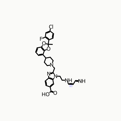 CC1(c2ccc(Cl)cc2F)Oc2cccc(C3CCN(Cc4nc5ccc(C(=O)O)cc5n4CCN/C=C\C=N)CC3)c2O1